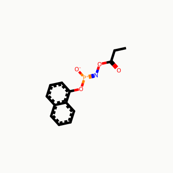 CCC(=O)O/N=[P+](\[O-])Oc1cccc2ccccc12